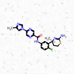 Cc1cn(-c2cnc(C(=O)Nc3ccc(F)c([C@]4(C)CCSC(N)=N4)c3)cn2)cn1